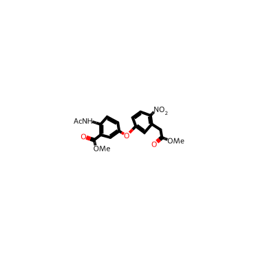 COC(=O)Cc1cc(Oc2ccc(NC(C)=O)c(C(=O)OC)c2)ccc1[N+](=O)[O-]